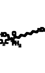 CCCCCCCCCCCCCCCCCC(=O)N(P)C(CO)C(=O)O